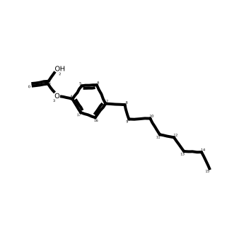 C=C(O)Oc1ccc(CCCCCCCC)cc1